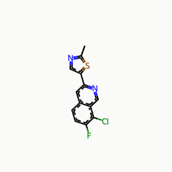 Cc1ncc(-c2cc3ccc(F)c(Cl)c3cn2)s1